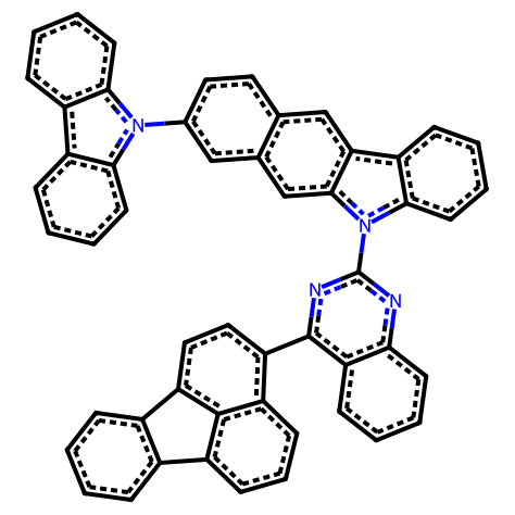 c1ccc2c(c1)-c1cccc3c(-c4nc(-n5c6ccccc6c6cc7ccc(-n8c9ccccc9c9ccccc98)cc7cc65)nc5ccccc45)ccc-2c13